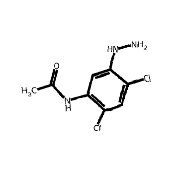 CC(=O)Nc1cc(NN)c(Cl)cc1Cl